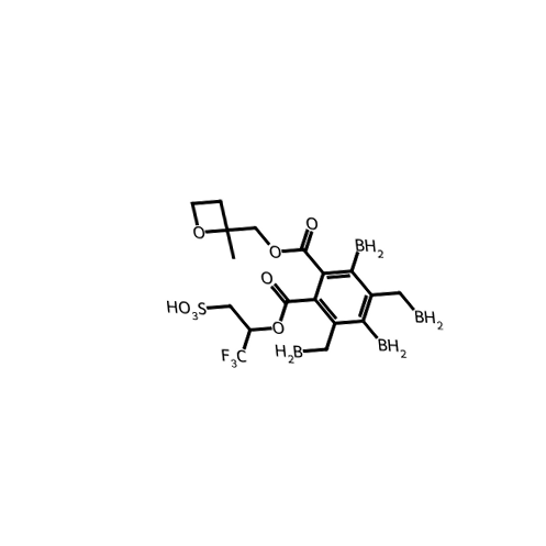 BCc1c(B)c(CB)c(C(=O)OC(CS(=O)(=O)O)C(F)(F)F)c(C(=O)OCC2(C)CCO2)c1B